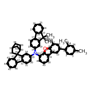 Cc1ccc(-c2cc(C(C)(C)C)c3oc4c(N(c5ccc6c(c5)C(C)(C)c5ccccc5-6)c5ccc6c(c5)C5(CC7CCC5C7)c5ccccc5-6)cccc4c3c2)c(C)c1